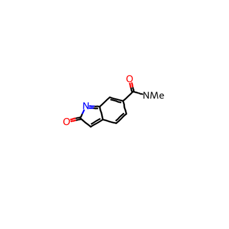 CNC(=O)c1ccc2c(c1)=NC(=O)C=2